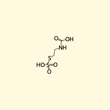 O=C(O)NCCSS(=O)(=O)O